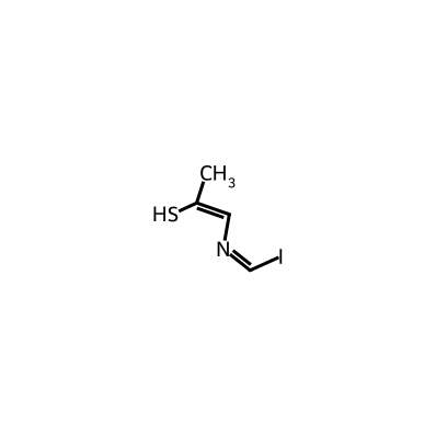 C/C(S)=C/N=C\I